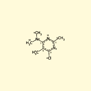 Cc1nc(Cl)c(C)c(N(C)C)n1